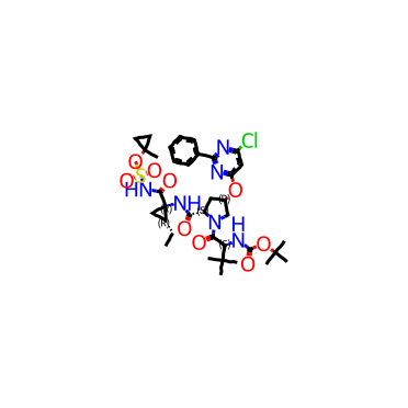 CC[C@@H]1C[C@]1(NC(=O)[C@@H]1C[C@@H](Oc2cc(Cl)nc(-c3ccccc3)n2)CN1C(=O)[C@@H](NC(=O)OC(C)(C)C)C(C)(C)C)C(=O)NS(=O)(=O)OC1(C)CC1